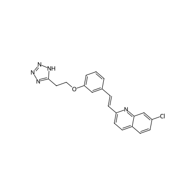 Clc1ccc2ccc(C=Cc3cccc(OCCc4nnn[nH]4)c3)nc2c1